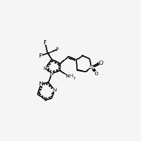 Nc1c(C=C2CCS(=O)(=O)CC2)c(C(F)(F)F)nn1-c1ncccn1